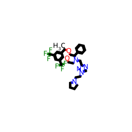 C[C@@H](OC1OCCN(Cc2ncn(CCN3CCCC3)n2)C1c1ccccc1)c1cc(C(F)(F)F)cc(C(F)(F)F)c1